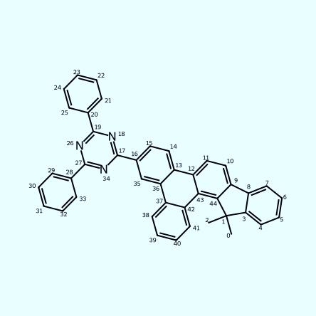 CC1(C)c2ccccc2-c2ccc3c4ccc(-c5nc(-c6ccccc6)nc(-c6ccccc6)n5)cc4c4ccccc4c3c21